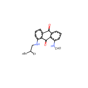 CCCCC(CC)CNc1cccc2c1C(=O)c1c(NC=O)cccc1C2=O